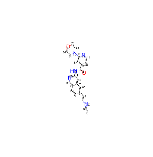 C/C=N/C=C/c1ccc2cnc(NC(=O)c3ccnc(N4CCOCC4)c3)cc2c1